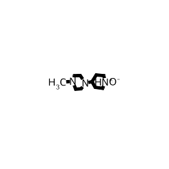 CN1CCN(C2CC[NH+]([O-])CC2)CC1